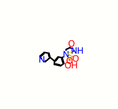 O=C1CN(c2cc(-c3cccnc3)ccc2O)S(=O)(=O)N1